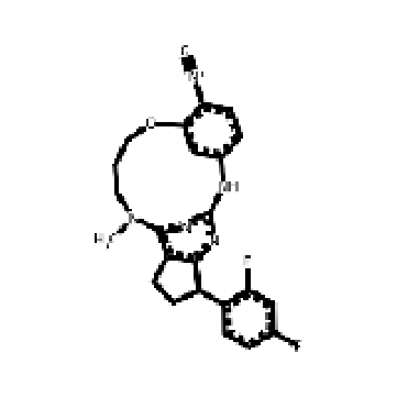 [C-]#[N+]c1ccc2cc1OCCCN(C)c1nc(nc3c1CCC3c1ccc(F)cc1F)N2